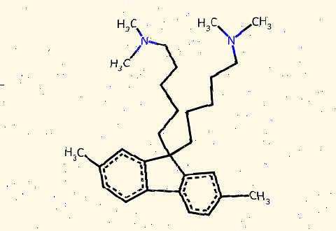 Cc1ccc2c(c1)C(CCCCCN(C)C)(CCCCCN(C)C)c1cc(C)ccc1-2